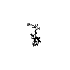 Cc1c(C)n2nnnc2c2nc(C)n(CCNC(=O)OC(C)(C)C)c12